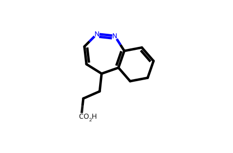 O=C(O)CCC1C=CN=NC2=C1CCC=C2